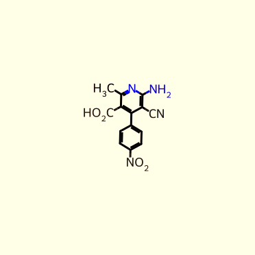 Cc1nc(N)c(C#N)c(-c2ccc([N+](=O)[O-])cc2)c1C(=O)O